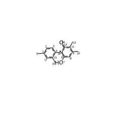 Cc1ccc(-n2c(O)cc(C)c(C)c2=O)c(C)c1